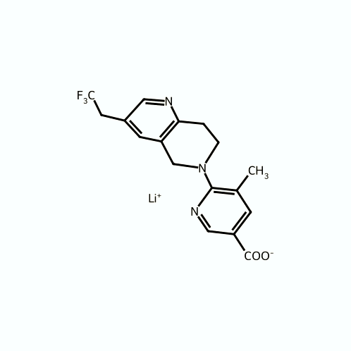 Cc1cc(C(=O)[O-])cnc1N1CCc2ncc(CC(F)(F)F)cc2C1.[Li+]